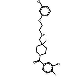 O=C(c1ccc(F)c(Cl)c1)N1CCC(F)(CNCCOc2cccc(Cl)c2)CC1